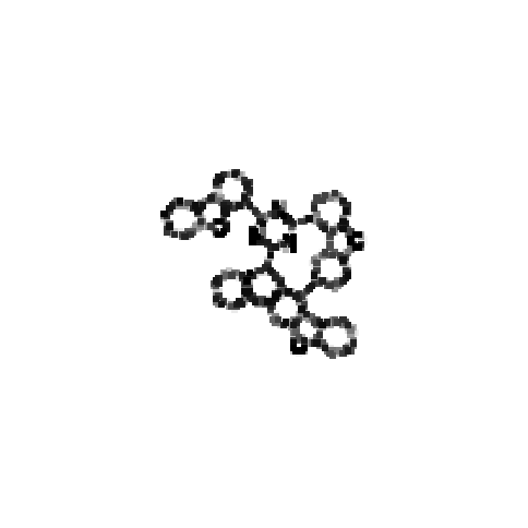 c1ccc(-c2cc(-c3ccc4oc5cccc(-c6nc(-c7ccccc7)nc(-c7cccc8c7oc7ccccc78)n6)c5c4c3)c3c(c2)oc2ccccc23)cc1